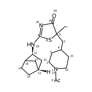 CC(=O)N1CCC(CC2(C)SC(N[C@H]3C[C@@H]4CCC3C4)=NC2=O)CC1